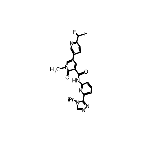 CC(C)n1cnnc1-c1cccc(NC(=O)c2cc(-c3ccc(C(F)F)nc3)cn(C)c2=O)n1